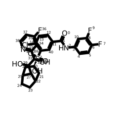 O=C(Nc1ccc(F)c(F)c1)c1ccc(Cl)c(S(=O)(=O)[C@H]2CC3CCC(C2)[C@]3(O)C(O)C(O)c2cc(F)ccn2)c1